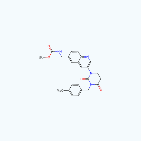 COc1ccc(CN2C(=O)CCN(c3cnc4ccc(CNC(=O)OC(C)(C)C)cc4c3)C2=O)cc1